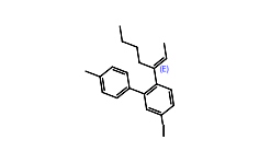 C/C=C(\CCCC)c1ccc(I)cc1-c1ccc(C)cc1